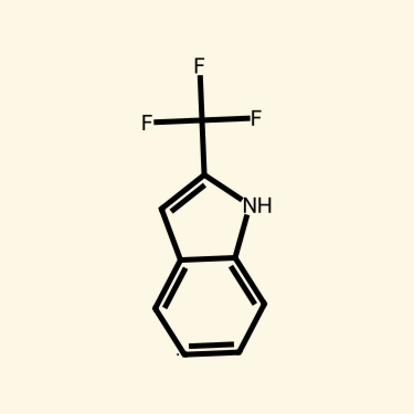 FC(F)(F)c1cc2c[c]ccc2[nH]1